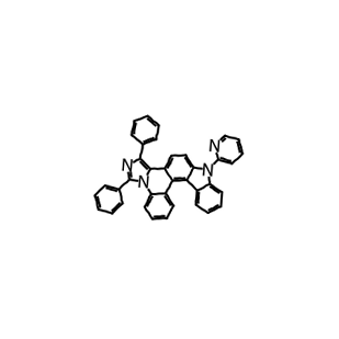 c1ccc(-c2nc(-c3ccccc3)n3c4ccccc4c4c(ccc5c4c4ccccc4n5-c4ccccn4)c23)cc1